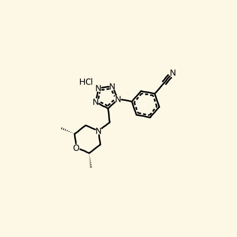 C[C@@H]1CN(Cc2nnnn2-c2cccc(C#N)c2)C[C@H](C)O1.Cl